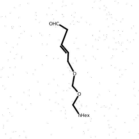 CCCCCCCOCOCC=CCC=O